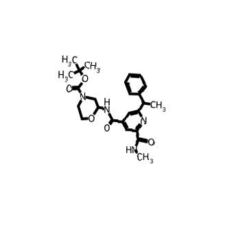 CNC(=O)c1cc(C(=O)NC2CN(C(=O)OC(C)(C)C)CCO2)cc(C(C)c2ccccc2)n1